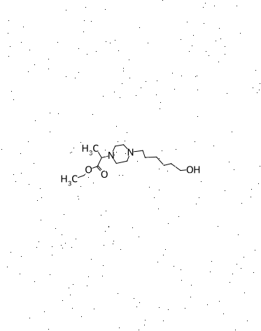 CCOC(=O)C(C)N1CCN(CCCCCCO)CC1